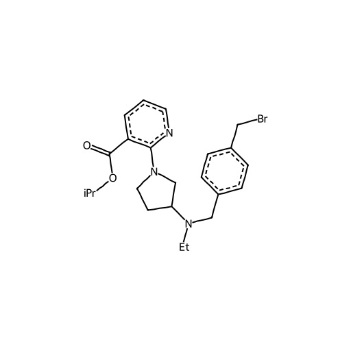 CCN(Cc1ccc(CBr)cc1)C1CCN(c2ncccc2C(=O)OC(C)C)C1